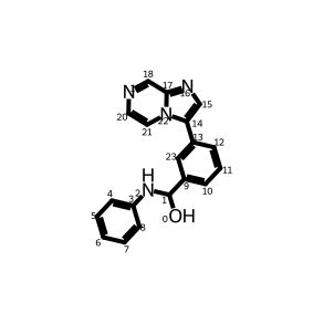 OC(Nc1ccccc1)c1cccc(-c2cnc3cnccn23)c1